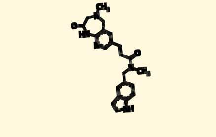 CN1CC(=O)Nc2ncc(C=CC(=O)N(C)Cc3ccc4[nH]ccc4c3)cc2C1